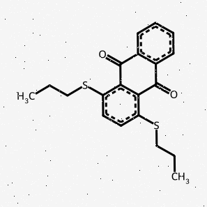 CCCSc1ccc(SCCC)c2c1C(=O)c1ccccc1C2=O